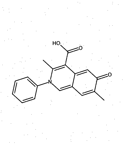 Cc1cc2cn(-c3ccccc3)c(C)c(C(=O)O)c-2cc1=O